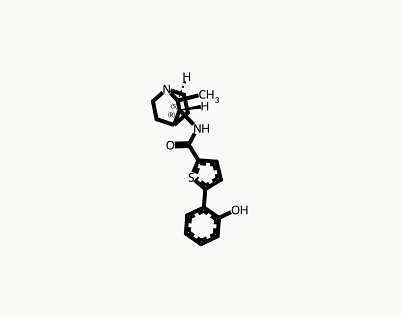 C[C@H]1[C@H](NC(=O)c2ccc(-c3ccccc3O)s2)C2CCN1CC2